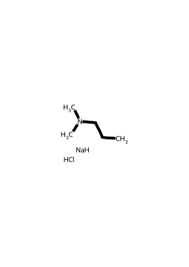 CCCN(C)C.Cl.[NaH]